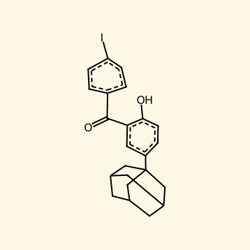 O=C(c1ccc(I)cc1)c1cc(C23CC4CC(CC(C4)C2)C3)ccc1O